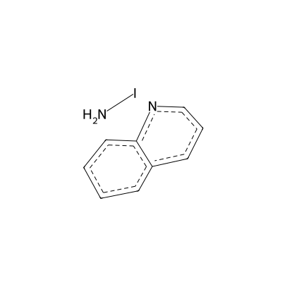 NI.c1ccc2ncccc2c1